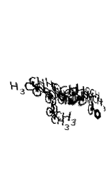 CC(C)C(=O)OCOP(=O)(OCOC(=O)C(C)C)OC[C@@]1(CF)O[C@@H](n2ccc(=O)n(COC(=O)C(NCC(=O)c3ccccc3)C(C)C)c2=O)[C@](C)(O)[C@@H]1O